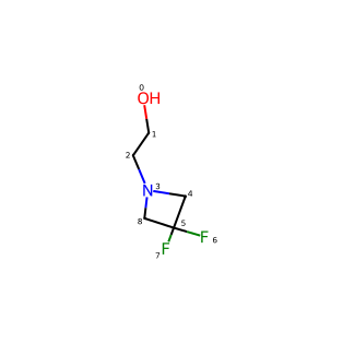 OCCN1CC(F)(F)C1